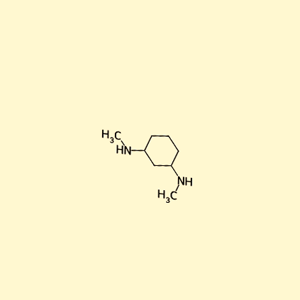 CNC1CCCC(NC)C1